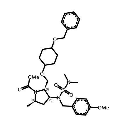 COC(=O)N1[C@H](C)C[C@H](N(Cc2ccc(OC)cc2)S(=O)(=O)N(C)C)[C@@H]1COC1CCC(OCc2ccccc2)CC1